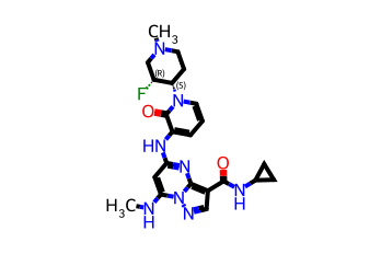 CNc1cc(Nc2cccn([C@H]3CCN(C)C[C@H]3F)c2=O)nc2c(C(=O)NC3CC3)cnn12